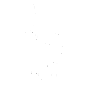 C[C@H](Cn1cccn1)NC(O)c1c[nH]c2ncc(-c3nn(C)c4cc(F)ccc34)nc12